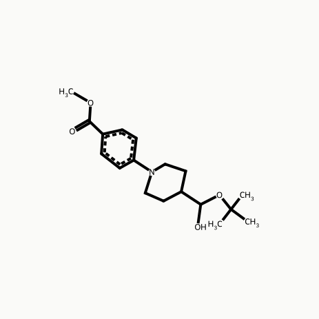 COC(=O)c1ccc(N2CCC(C(O)OC(C)(C)C)CC2)cc1